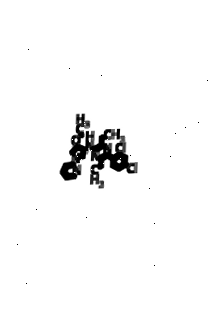 CCO[C@@H]1CN(c2ccccn2)C[C@H]1Nc1nc(CC)c(-c2ccc(Cl)cc2Cl)nc1CC